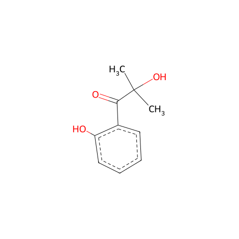 CC(C)(O)C(=O)c1ccccc1O